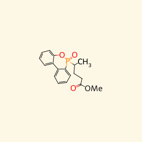 COC(=O)CCC(C)P1(=O)Oc2ccccc2-c2ccccc21